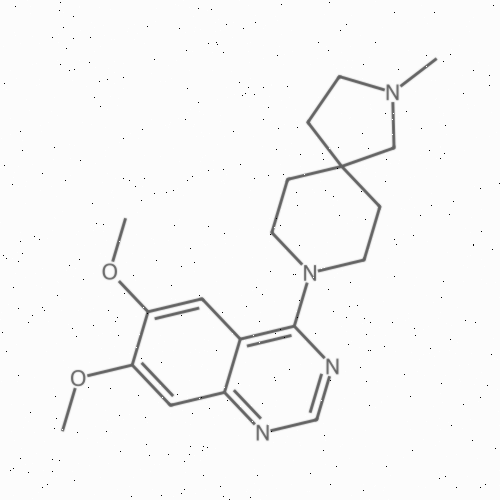 COc1cc2ncnc(N3CCC4(CCN(C)C4)CC3)c2cc1OC